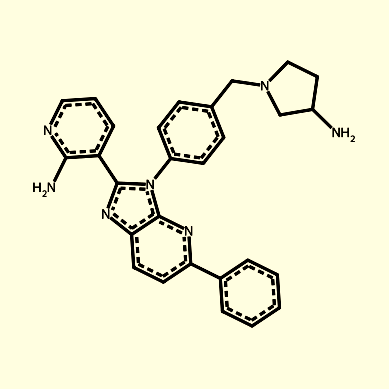 Nc1ncccc1-c1nc2ccc(-c3ccccc3)nc2n1-c1ccc(CN2CCC(N)C2)cc1